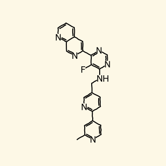 Cc1cc(-c2ccc(CNc3ncnc(-c4cc5cccnc5cn4)c3F)cn2)ccn1